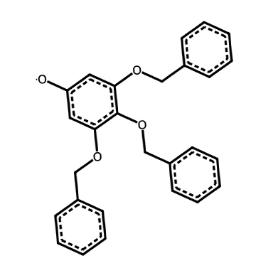 [O]c1cc(OCc2ccccc2)c(OCc2ccccc2)c(OCc2ccccc2)c1